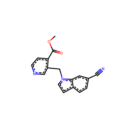 COC(=O)c1ccncc1Cn1ccc2ccc(C#N)cc21